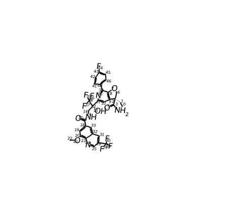 CC[C@@]1(C(N)=O)COc2c1cc([C@@](O)(CNC(=O)c1cc(OC)c3ncc(C(F)(F)F)cc3c1)C(F)(F)F)nc2-c1ccc(F)cc1